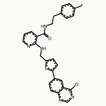 O=C(NCCc1ccc(F)cc1)c1cccnc1NCc1ccc(-c2ccc3ncnc(Cl)c3c2)s1